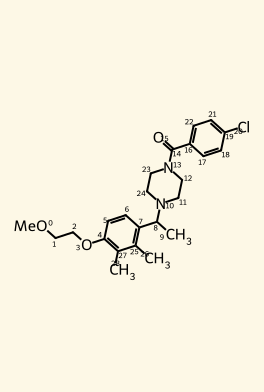 COCCOc1ccc(C(C)N2CCN(C(=O)c3ccc(Cl)cc3)CC2)c(C)c1C